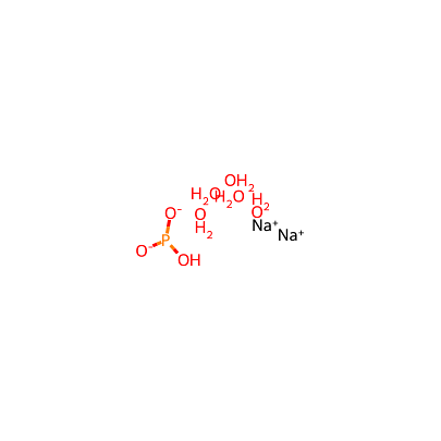 O.O.O.O.O.[Na+].[Na+].[O-]P([O-])O